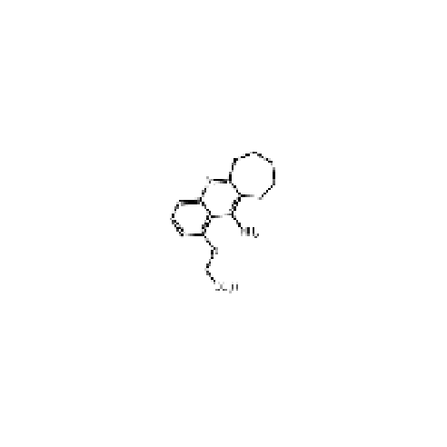 Nc1c2c(nc3cccc(OCC(=O)O)c13)CCCCC2